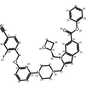 N#Cc1ccc(COc2cccc(N3CCN(Cc4cc5ccc(C(=O)Oc6ccccc6)cc5n4C[C@@H]4CCO4)CC3)n2)c(F)c1